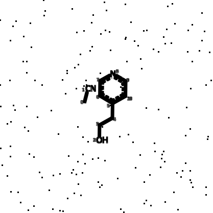 CC#N.OCCc1ccncc1